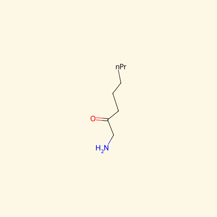 CCCCCCC(=O)CN